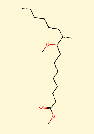 CCCCCCC(C)C(CCCCCCCC(=O)OC)OC